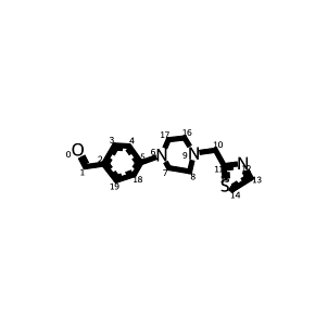 O=Cc1ccc(N2CCN(Cc3nccs3)CC2)cc1